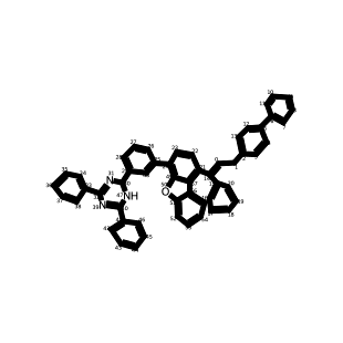 C(/Cc1ccc(-c2ccccc2)cc1)=C(/c1ccccc1)c1ccc(-c2cccc(C3N=C(c4ccccc4)N=C(c4ccccc4)N3)c2)c2oc3ccccc3c12